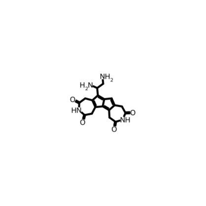 NCC(N)C1=C2C=C3CC(=O)NC(=O)CC3=C2C2=C1CC(=O)NC(=O)C2